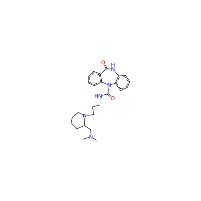 CN(C)CC1CCCCN1CCCNC(=O)N1c2ccccc2NC(=O)c2ccccc21